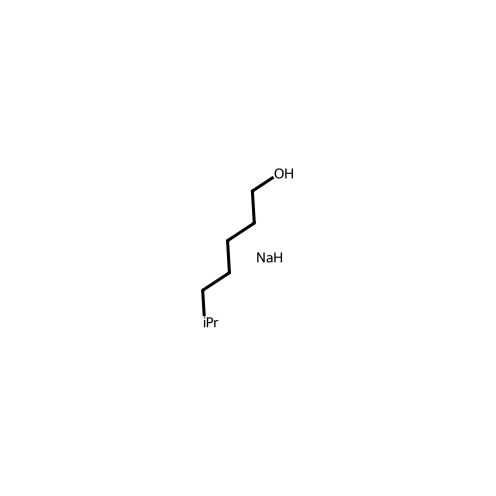 CC(C)CCCCCO.[NaH]